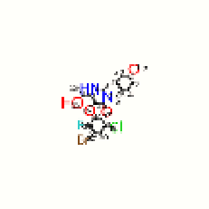 COc1ccc(CN2CNC(C(C)O)=C(Oc3cc(Cl)cc(Br)c3F)C2=O)cc1